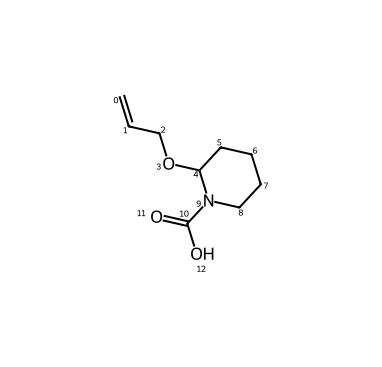 C=CCOC1CCCCN1C(=O)O